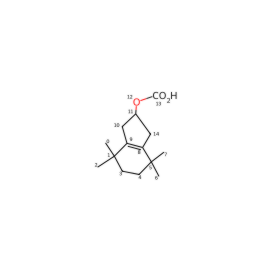 CC1(C)CCC(C)(C)C2=C1CC(OC(=O)O)C2